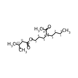 CCCCN(CCCOC(=O)CC(C)C)C(C)=O